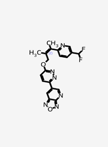 C/C(COc1ccc(-c2cnc3nonc3c2)nn1)=C(\C)c1ccc(C(F)F)cn1